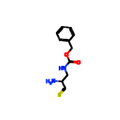 NC(C=S)CNC(=O)OCc1ccccc1